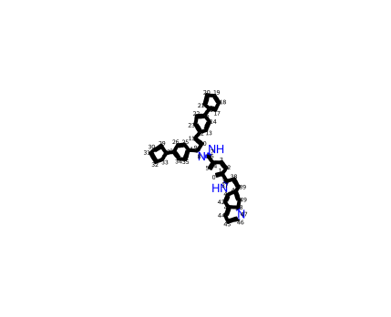 C=C(/C=C\C(=C)C(=N)/N=C(\C=C\c1ccc(-c2ccccc2)cc1)c1ccc(C2C=CC=CC2)cc1)C(=N)/C=C\c1ccc2cccnc2c1